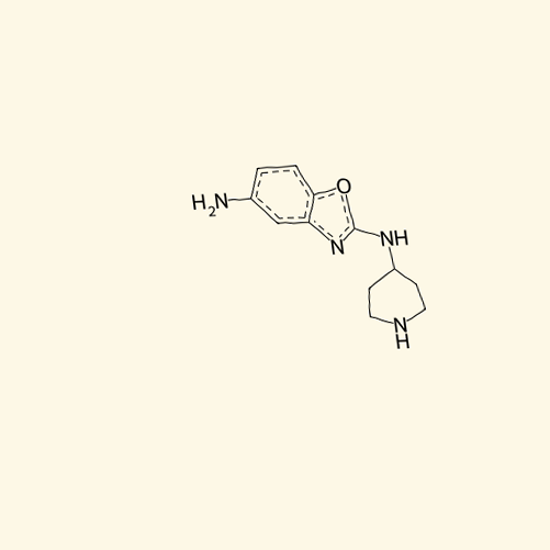 Nc1ccc2oc(NC3CCNCC3)nc2c1